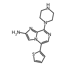 Nc1cn2c(-c3cccs3)cnc(N3CCNCC3)c2n1